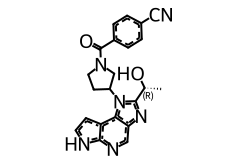 C[C@@H](O)c1nc2cnc3[nH]ccc3c2n1C1CCN(C(=O)c2ccc(C#N)cc2)C1